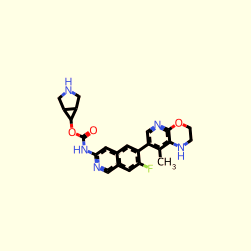 Cc1c(-c2cc3cc(NC(=O)OC4C5CNCC54)ncc3cc2F)cnc2c1NCCO2